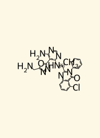 C[C@H](Nc1ncnc(N)c1-c1nnc(CN)o1)c1nc2cccc(Cl)c2c(=O)n1-c1ccccc1